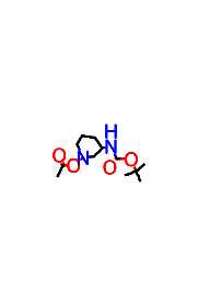 CC(=O)ON1CCCC(NC(=O)OC(C)(C)C)C1